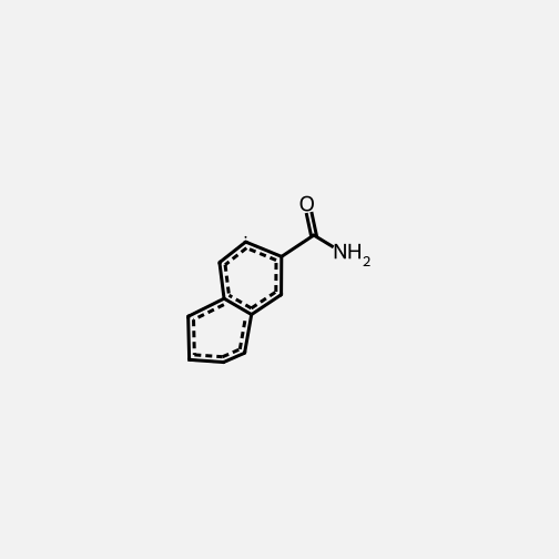 NC(=O)c1[c]cc2ccccc2c1